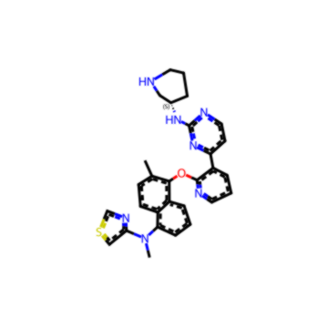 Cc1ccc2c(N(C)c3cscn3)cccc2c1Oc1ncccc1-c1ccnc(N[C@H]2CCCNC2)n1